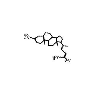 CCC(CCC(C)C1CCC2C3CCC4CC(C(C)C)CCC4(C)C3CCC12C)C(C)C